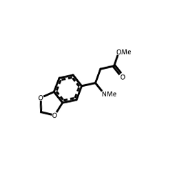 CNC(CC(=O)OC)c1ccc2c(c1)OCO2